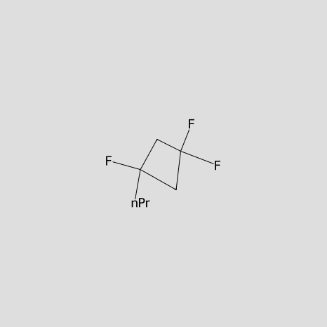 CCCC1(F)CC(F)(F)C1